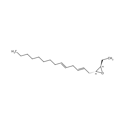 CCCCCCCCC=CCC=CC[C@H]1O[C@@H]1CC